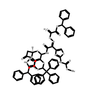 C=C(O/N=C(\C(=O)NC1S[C@@H]2CC(=O)N2C(C(=O)OC(c2ccccc2)c2ccccc2)=C1SC(Sc1c[nH]nn1)C(c1ccccc1)(c1ccccc1)c1ccccc1)c1csc(NC(=O)OC(C)(C)C)n1)C(=O)OC(c1ccccc1)c1ccccc1